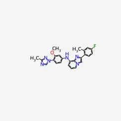 COc1cc(Nc2cccn3cc(-c4ccc(F)cc4C)nc23)ccc1-n1cnc(C)n1